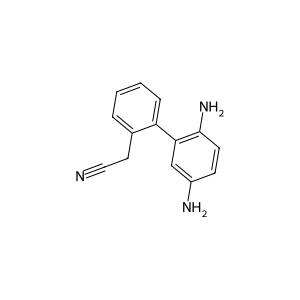 N#CCc1ccccc1-c1cc(N)ccc1N